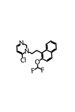 FC(F)Oc1ccc2ccccc2c1CCN1CN=CC=C1Cl